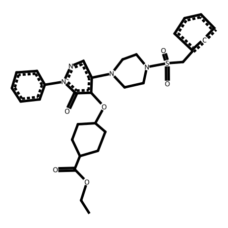 CCOC(=O)C1CCC(Oc2c(N3CCN(S(=O)(=O)Cc4ccccc4)CC3)cnn(-c3ccccc3)c2=O)CC1